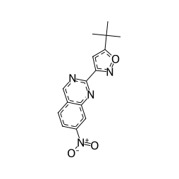 CC(C)(C)c1cc(-c2ncc3ccc([N+](=O)[O-])cc3n2)no1